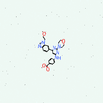 COCCn1cnc2ccc(-c3cc(Nc4ccc(C(=O)OC)cc4)nc(N4CCOCC4)n3)cc21